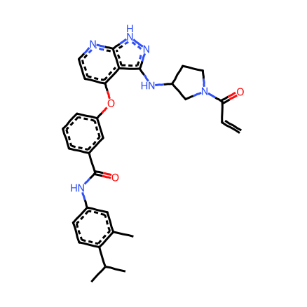 C=CC(=O)N1CCC(Nc2n[nH]c3nccc(Oc4cccc(C(=O)Nc5ccc(C(C)C)c(C)c5)c4)c23)C1